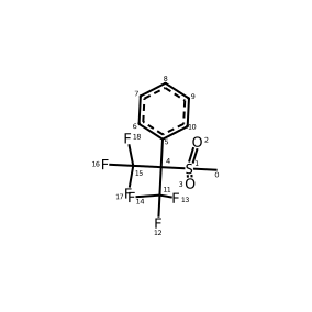 CS(=O)(=O)C(c1ccccc1)(C(F)(F)F)C(F)(F)F